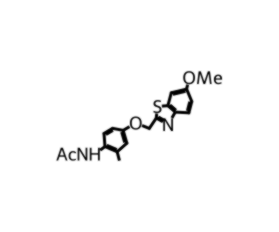 COc1ccc2nc(COc3ccc(NC(C)=O)c(C)c3)sc2c1